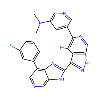 CN(C)c1cncc(-c2ncc3[nH]nc(-c4nc5c(-c6cccc(F)c6)cncc5[nH]4)c3c2F)c1